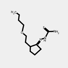 CCCCOCCC1CCCC1=NNC(N)=S